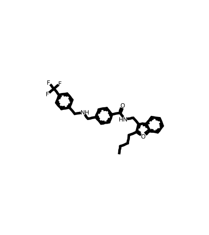 CCCCc1oc2ccccc2c1CNC(=O)c1ccc(CNCc2ccc(C(F)(F)F)cc2)cc1